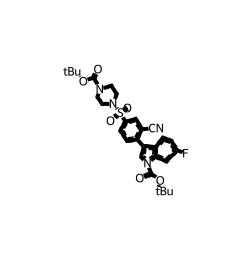 CC(C)(C)OC(=O)N1CCN(S(=O)(=O)c2ccc(-c3cn(C(=O)OC(C)(C)C)c4cc(F)ccc34)c(C#N)c2)CC1